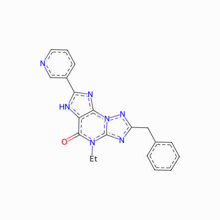 CCn1c(=O)c2[nH]c(-c3cccnc3)nc2n2nc(Cc3ccccc3)nc12